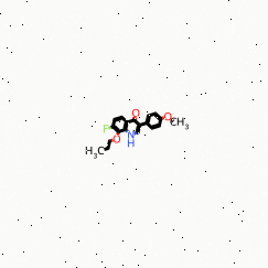 CCCOc1c(F)ccc2c(=O)c(-c3ccc(OC)cc3)c[nH]c12